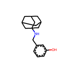 Oc1cccc(CNC23CC4CC(CC(C4)C2)C3)c1